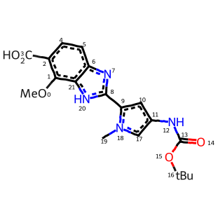 COc1c(C(=O)O)ccc2nc(-c3cc(NC(=O)OC(C)(C)C)cn3C)[nH]c12